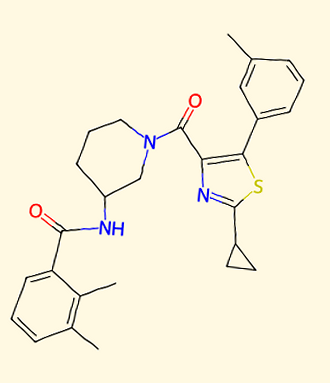 Cc1cccc(-c2sc(C3CC3)nc2C(=O)N2CCCC(NC(=O)c3cccc(C)c3C)C2)c1